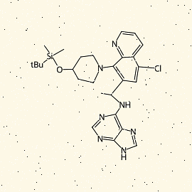 CC(Nc1ncnc2[nH]cnc12)c1cc(Cl)c2cccnc2c1N1CCC(O[Si](C)(C)C(C)(C)C)CC1